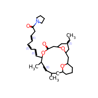 C/C=C1\CC2CC(=O)OC(/C=C/C=C\C=C\CC(=O)N3CCCC3)C(C)/C=C/C(C)CC3CCCC(CC(C1)O2)O3